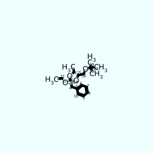 CCO[Si](Cc1ccccc1)(OCC)OCCOC(C)(C)C